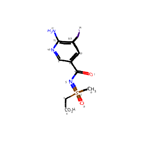 CS(=O)(CC(=O)O)=NC(=O)c1cnc(N)c(I)c1